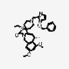 CCN1C(=O)N2Cc3cc(OC)cc(OC)c3[C@@H](C)C=C2C12CCN(Cc1nccn1OCc1ccccc1)CC2